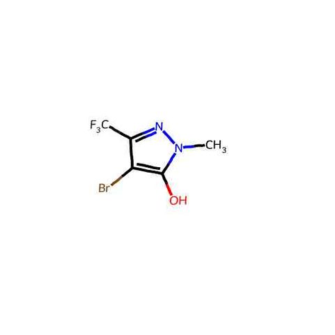 Cn1nc(C(F)(F)F)c(Br)c1O